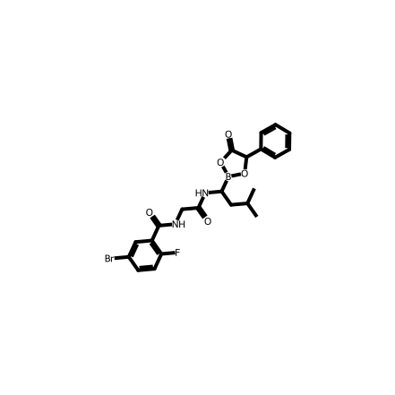 CC(C)CC(NC(=O)CNC(=O)c1cc(Br)ccc1F)B1OC(=O)C(c2ccccc2)O1